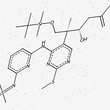 C=C(C)C[C@H](O)[C@](C)(CO[Si](C)(C)C(C)(C)C)c1cnc(SC)nc1Nc1cccc(N=S(C)(C)=O)n1